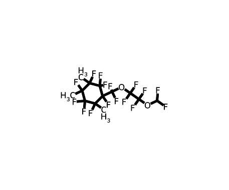 CC1(F)C(C)(F)C(F)(F)C(F)(C(F)(F)OC(F)(F)C(F)(F)OC(F)F)C(C)(F)C1(F)F